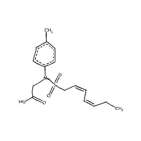 CC/C=C\C=C/CS(=O)(=O)N(CC(=O)O)c1ccc(C)cc1